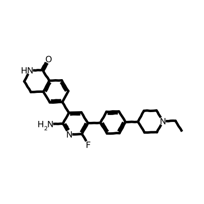 CCN1CCC(c2ccc(-c3cc(-c4ccc5c(c4)CCNC5=O)c(N)nc3F)cc2)CC1